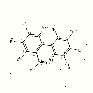 [2H]c1c([2H])c(-c2c([2H])c([2H])c(Br)c([2H])c2[N+](=O)[O-])c([2H])c([2H])c1Br